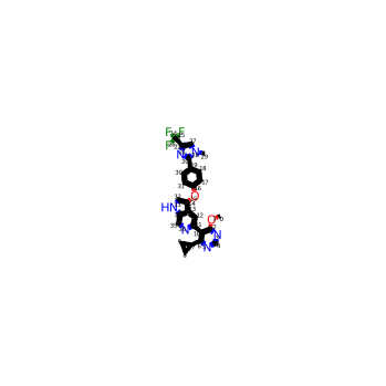 COc1ncnc(C2CC2)c1-c1cc2c(Oc3ccc(-c4nc(C(F)(F)F)cn4C)cc3)c[nH]c2cn1